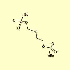 CCCCS(=O)(=O)OCCOCOS(=O)(=O)CCCC